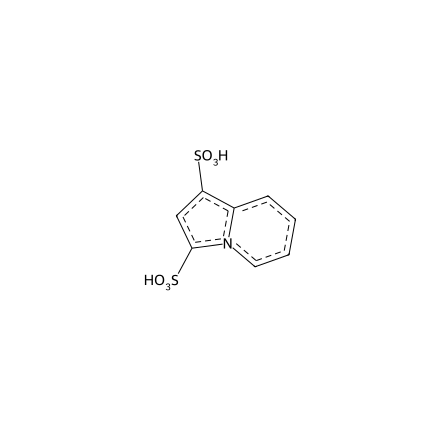 O=S(=O)(O)c1cc(S(=O)(=O)O)n2ccccc12